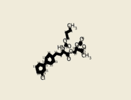 CCCCOC(=O)NC(CCc1ccc(-c2cccc(Cl)c2)cc1)C(=O)OCc1oc(=O)oc1C